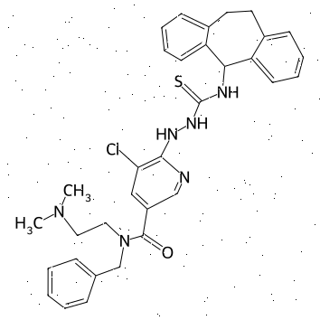 CN(C)CCN(Cc1ccccc1)C(=O)c1cnc(NNC(=S)NC2c3ccccc3CCc3ccccc32)c(Cl)c1